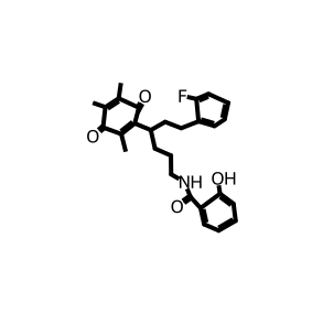 CC1=C(C)C(=O)C(C(CCCNC(=O)c2ccccc2O)CCc2ccccc2F)=C(C)C1=O